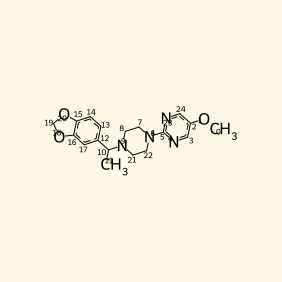 COc1cnc(N2CCN(C(C)c3ccc4c(c3)OCO4)CC2)nc1